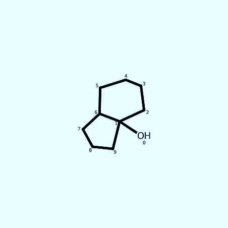 OC12CCCCC1CCC2